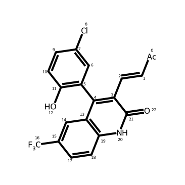 CC(=O)/C=C/c1c(-c2cc(Cl)ccc2O)c2cc(C(F)(F)F)ccc2[nH]c1=O